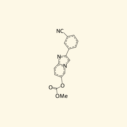 COC(=O)Oc1ccc2nc(-c3cccc(C#N)c3)cn2c1